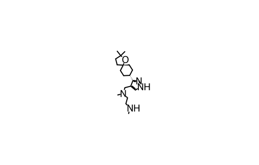 CNCCN(C)Cc1c[nH]nc1[C@H]1CC[C@]2(CCC(C)(C)O2)CC1